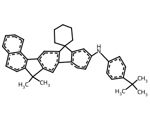 CC(C)(C)c1ccc(Nc2ccc3c(c2)C2(CCCCC2)c2cc4c(cc2-3)C(C)(C)c2ccc3ccccc3c2-4)cc1